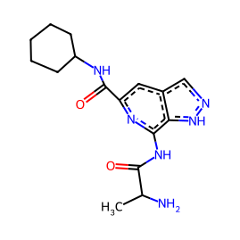 CC(N)C(=O)Nc1nc(C(=O)NC2CCCCC2)cc2cn[nH]c12